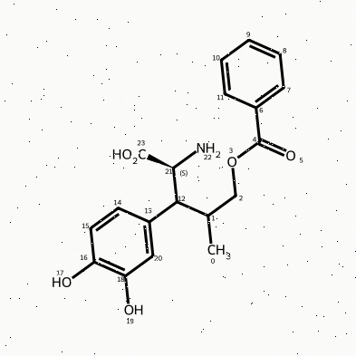 CC(COC(=O)c1ccccc1)C(c1ccc(O)c(O)c1)[C@H](N)C(=O)O